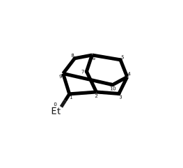 [CH2]CC1C2CC3CC(C2)CC1C3